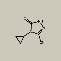 N#Cc1n[nH]c(=O)n1C1CC1